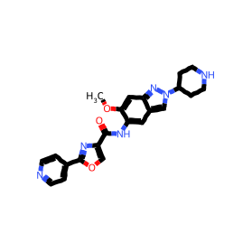 COc1cc2nn(C3CCNCC3)cc2cc1NC(=O)c1coc(-c2ccncc2)n1